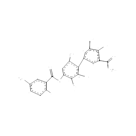 COC(=O)c1cc(-c2c(F)cc(NC(=O)c3cc(C#N)ccc3Cl)c(C(C)=O)c2F)cc(F)c1F